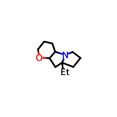 CCC12CCCN1C1CCCOC1C2